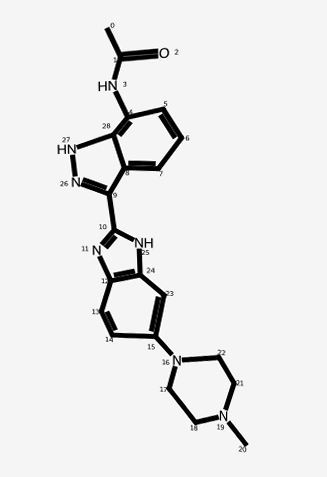 CC(=O)Nc1cccc2c(-c3nc4ccc(N5CCN(C)CC5)cc4[nH]3)n[nH]c12